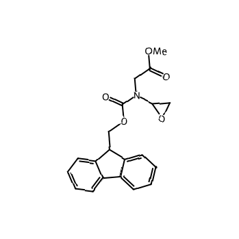 COC(=O)CN(C(=O)OCC1c2ccccc2-c2ccccc21)C1CO1